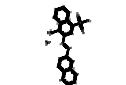 Nc1c(N=Nc2ccc3ncccc3c2)cc(S(=O)(=O)[O-])c2ccccc12.[Na+]